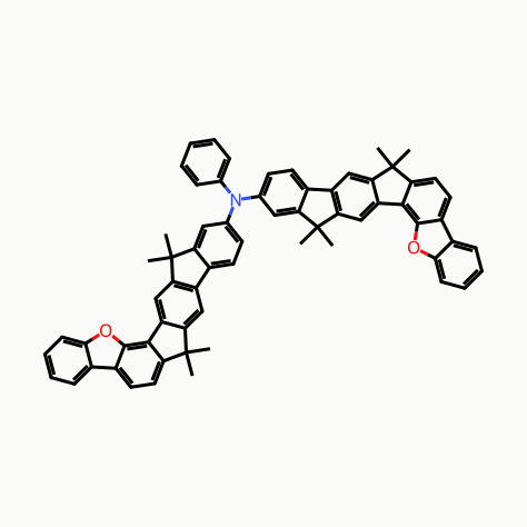 CC1(C)c2cc(N(c3ccccc3)c3ccc4c(c3)C(C)(C)c3cc5c(cc3-4)C(C)(C)c3ccc4c(oc6ccccc64)c3-5)ccc2-c2cc3c(cc21)-c1c(ccc2c1oc1ccccc12)C3(C)C